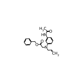 C=CCN(CC(=O)OCc1ccccc1)c1cccc(NC(C)=O)c1